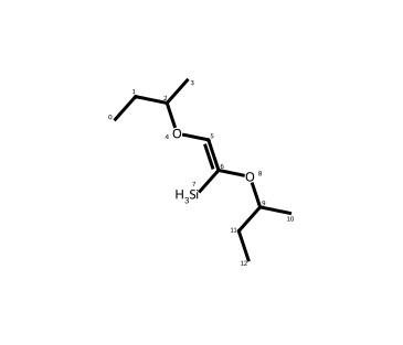 CCC(C)OC=C([SiH3])OC(C)CC